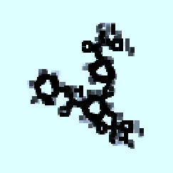 CN(C)C(=O)c1ccc(Oc2cc(C(=O)Nc3ccccn3)cc3c2CC(C)(C)O3)cc1